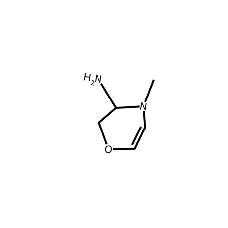 CN1C=COCC1N